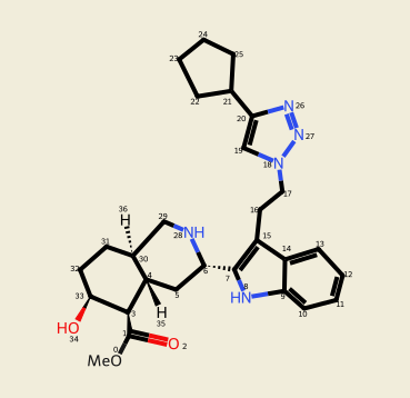 COC(=O)[C@@H]1[C@H]2C[C@@H](c3[nH]c4ccccc4c3CCn3cc(C4CCCC4)nn3)NC[C@@H]2CC[C@@H]1O